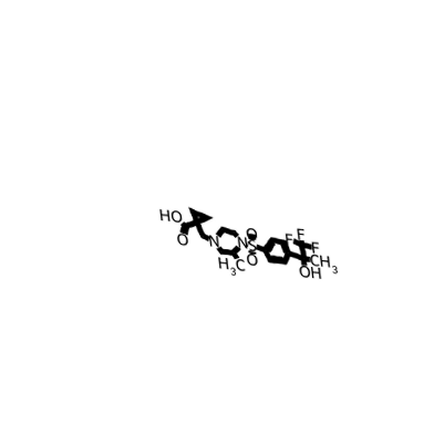 CC1CN(CC2(C(=O)O)CC2)CCN1S(=O)(=O)c1ccc(C(C)(O)C(F)(F)F)cc1